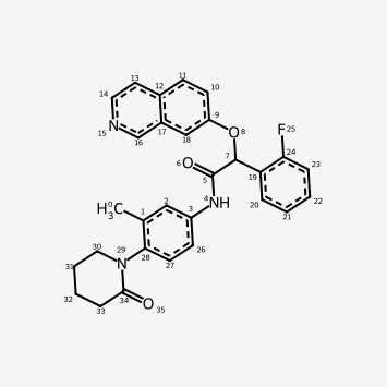 Cc1cc(NC(=O)C(Oc2ccc3ccncc3c2)c2ccccc2F)ccc1N1CCCCC1=O